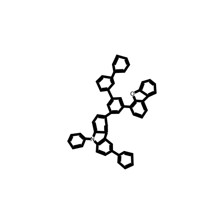 c1ccc(-c2cccc(-c3cc(-c4ccc5c(c4)c4cc(-c6ccccc6)ccc4n5-c4ccccc4)cc(-c4cccc5c4oc4ccccc45)c3)c2)cc1